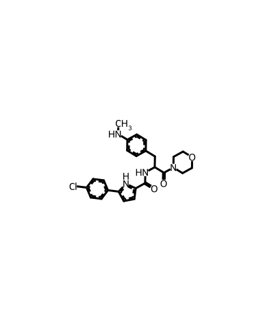 CNc1ccc(CC(NC(=O)c2ccc(-c3ccc(Cl)cc3)[nH]2)C(=O)N2CCOCC2)cc1